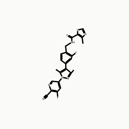 Cc1ncsc1C(=O)NCc1ccc(-c2c(C)nn(-c3cnc(C#N)c(F)c3)c2C)cc1F